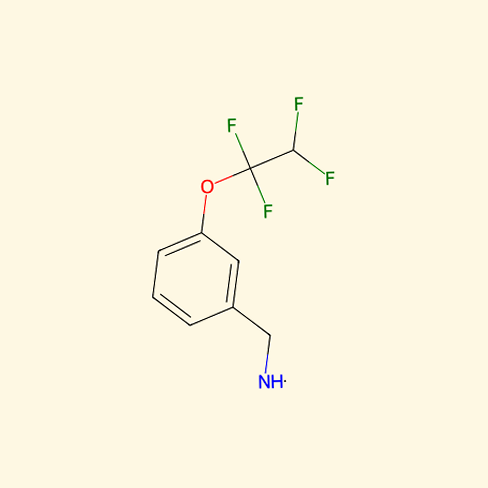 [NH]Cc1cccc(OC(F)(F)C(F)F)c1